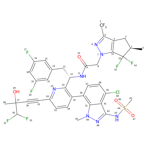 C[C@@H]1Cc2c(C(F)(F)F)nn(CC(=O)N[C@@H](Cc3cc(F)cc(F)c3)c3nc(C#CC(C)(O)C(F)F)ccc3-c3ccc(Cl)c4c(NS(C)(=O)=O)nn(C)c34)c2C1(F)F